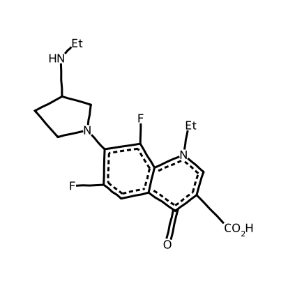 CCNC1CCN(c2c(F)cc3c(=O)c(C(=O)O)cn(CC)c3c2F)C1